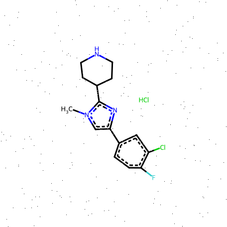 Cl.Cn1cc(-c2ccc(F)c(Cl)c2)nc1C1CCNCC1